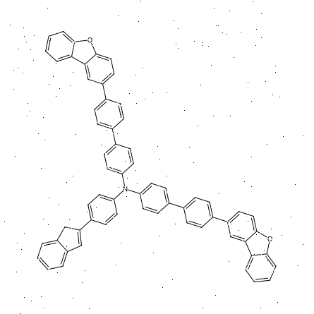 C1=C(c2ccc(N(c3ccc(-c4ccc(-c5ccc6oc7ccccc7c6c5)cc4)cc3)c3ccc(-c4ccc(-c5ccc6oc7ccccc7c6c5)cc4)cc3)cc2)Cc2ccccc21